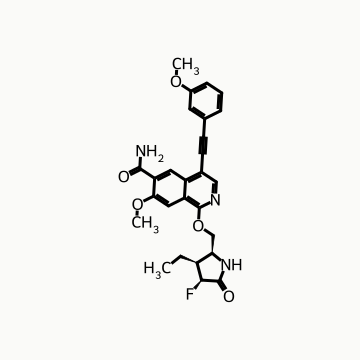 CC[C@@H]1[C@H](F)C(=O)N[C@@H]1COc1ncc(C#Cc2cccc(OC)c2)c2cc(C(N)=O)c(OC)cc12